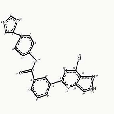 O=C(Nc1ccc(-c2cnco2)cc1)c1cccc(-c2nc(Cl)c3n[nH]cc3n2)c1